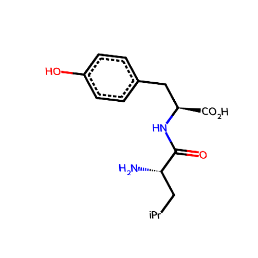 CC(C)C[C@H](N)C(=O)N[C@@H](Cc1ccc(O)cc1)C(=O)O